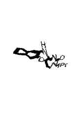 CC(C)n1cc2c(nc1=O)Nc1cc3ccccc3cc1O2